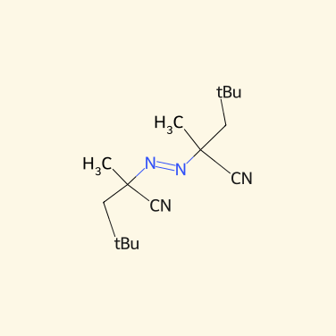 CC(C)(C)CC(C)(C#N)N=NC(C)(C#N)CC(C)(C)C